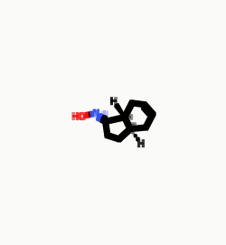 O/N=C1\CC[C@@H]2CC=CC[C@@H]12